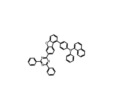 c1ccc(-c2nc(-c3ccccc3)nc(-c3ccc4c(c3)oc3cccc(-c5ccc(N(c6ccccc6)c6cccc7ccccc67)cc5)c34)n2)cc1